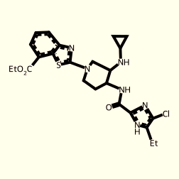 CCOC(=O)c1cccc2nc(N3CCC(NC(=O)c4nc(Cl)c(CC)[nH]4)C(NC4CC4)C3)sc12